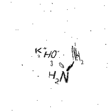 NN.[K+].[OH-]